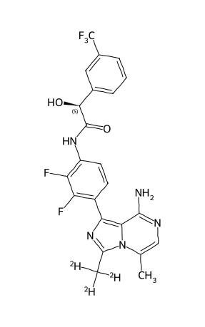 [2H]C([2H])([2H])c1nc(-c2ccc(NC(=O)[C@@H](O)c3cccc(C(F)(F)F)c3)c(F)c2F)c2c(N)ncc(C)n12